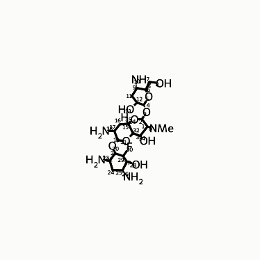 CNC1C(O[C@H]2OC(CO)[C@@H](N)CC2O)O[C@H]2CC(N)[C@@H](O[C@@H]3C(N)C[C@@H](N)C(O)C3F)OC2C1O